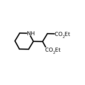 CCOC(=O)CC(C(=O)OCC)C1CCCCN1